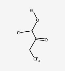 CCOC(Cl)C(=O)CC(F)(F)F